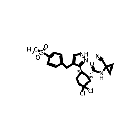 CS(=O)(=O)c1ccc(Cc2c[nH]nc2[C@@H]2CCC(Cl)(Cl)C[C@H]2C(=O)NC2(C#N)CC2)cc1